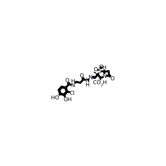 C[C@]1(/C=N/NC(=O)CCNC(=O)c2ccc(O)c(O)c2Cl)[C@H](C(=O)O)N2C(=O)C[C@H]2S1(=O)=O